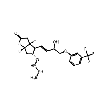 BPPO[C@@H]1C[C@@H]2OC(=O)C[C@@H]2[C@H]1/C=C/[C@@H](O)COc1cccc(C(F)(F)F)c1